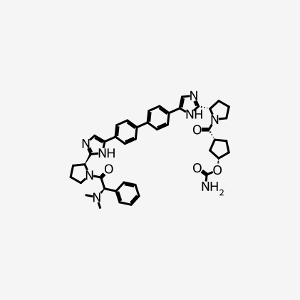 CN(C)[C@@H](C(=O)N1CCC[C@H]1c1ncc(-c2ccc(-c3ccc(-c4cnc([C@@H]5CCCN5C(=O)[C@@H]5CC[C@H](OC(N)=O)C5)[nH]4)cc3)cc2)[nH]1)c1ccccc1